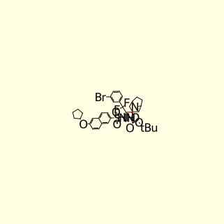 CC(C)(C)OC(=O)NC1CC2CCC(C1)N2C(=O)C(NS(=O)(=O)c1ccc2cc(OC3CCCC3)ccc2c1)C(F)(F)c1cccc(Br)c1